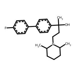 CC1CCCC(C)N1CCC(C)(O)c1ccc(-c2ccc(F)cc2)cc1